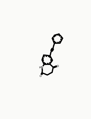 O=C1CCC(=O)c2cc(C#Cc3ccccc3)ccc2N1